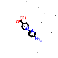 Nc1ccc(N2CCC(C(=O)O)CC2)nc1